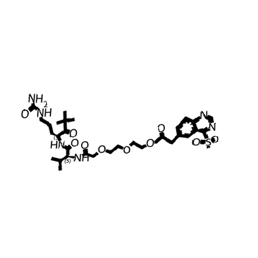 CC(C)[C@H](NC(=O)COCCOCCOCC(=O)Cc1ccc2ncnc(S(C)(=O)=O)c2c1)C(=O)N[C@@H](CCCNC(N)=O)C(=O)C(C)(C)C